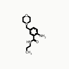 CCCNC(=O)c1cc(CN2CCOCC2)ccc1N